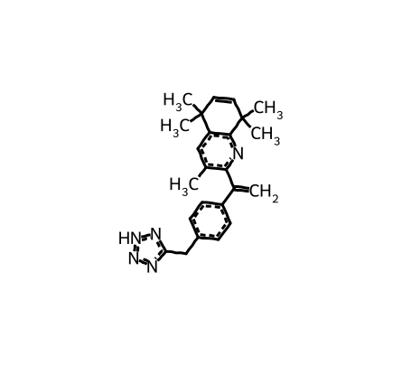 C=C(c1ccc(Cc2nn[nH]n2)cc1)c1nc2c(cc1C)C(C)(C)C=CC2(C)C